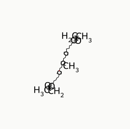 C=C(C)C(=O)OCCCCCCc1ccc(CCc2ccc(CCc3ccc(CCCCCCOC(=O)C(=C)C)cc3)c(C)c2)cc1